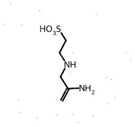 C=C(N)CNCCS(=O)(=O)O